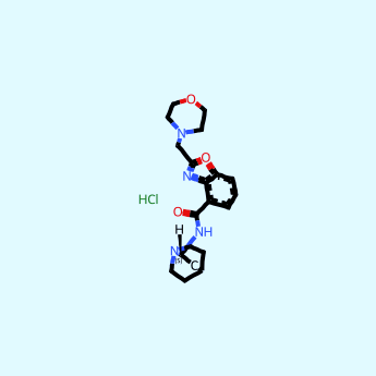 Cl.O=C(N[C@@H]1CC2CCN1CC2)c1cccc2oc(CN3CCOCC3)nc12